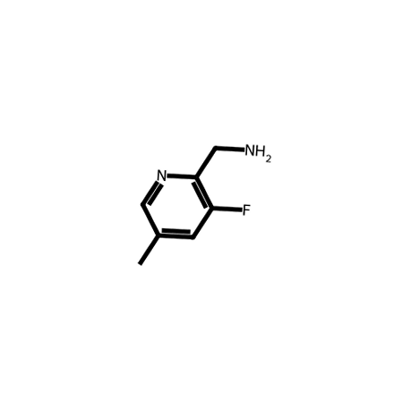 Cc1cnc(CN)c(F)c1